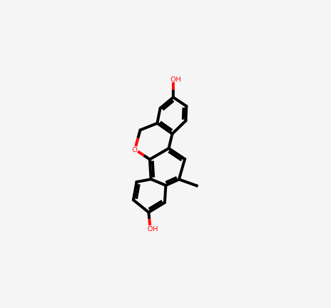 Cc1cc2c(c3ccc(O)cc13)OCc1cc(O)ccc1-2